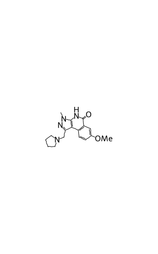 COc1ccc2c(c1)c(=O)[nH]c1c2c(CN2CCCC2)nn1C